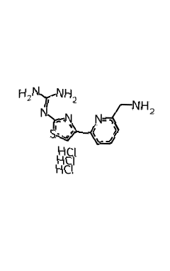 Cl.Cl.Cl.NCc1cccc(-c2csc(N=C(N)N)n2)n1